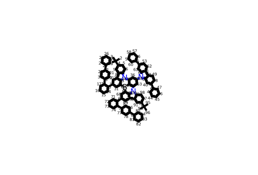 CC(C)(C)c1ccc2c(c1)c1cc(-c3ccccc3-c3ccc(-c4ccccc4)cc3)cc3c1n2-c1cc(-n2c4cc(-c5ccccc5)ccc4c4ccc(-c5ccccc5)cc42)cc2c1B3c1cc(-c3ccccc3-c3ccc(-c4ccccc4)cc3)cc3c4cc(C(C)(C)C)ccc4n-2c13